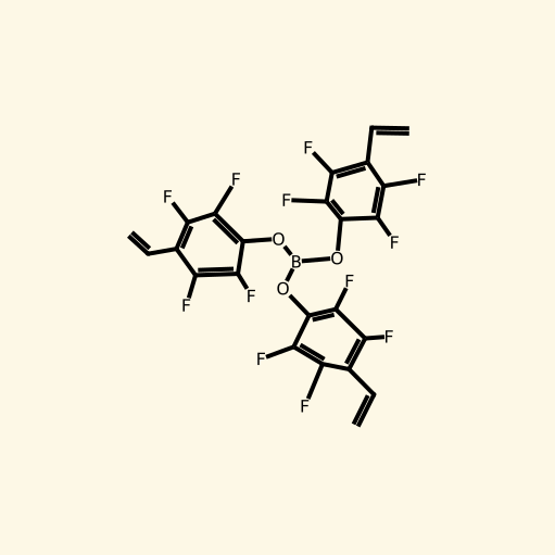 C=Cc1c(F)c(F)c(OB(Oc2c(F)c(F)c(C=C)c(F)c2F)Oc2c(F)c(F)c(C=C)c(F)c2F)c(F)c1F